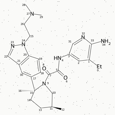 CCc1cc(NC(=O)C(=O)N2C[C@@H](C)CC[C@@]2(C)c2ccc3c(cnn3CCN(C)C)c2)cnc1N